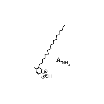 CCCCCCCCCCCCCCCCCCc1cc(S(=O)(=O)O)ccc1C.CN(C)C.N